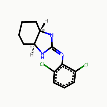 Clc1cccc(Cl)c1N=C1N[C@H]2CCCC[C@@H]2N1